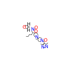 CCCC[C@H]1CN(C[C@@H]2[C@@H]3COC[C@@H]32)C(=O)OC12CCN(C1(C)CCN(C(=O)c3c(C)ncnc3C)CC1)CC2